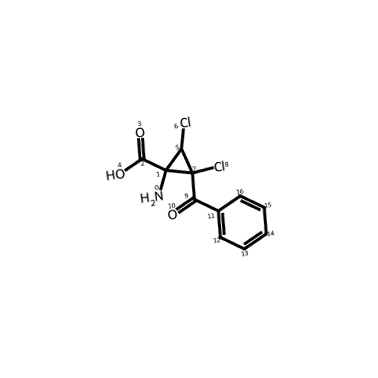 NC1(C(=O)O)C(Cl)C1(Cl)C(=O)c1ccccc1